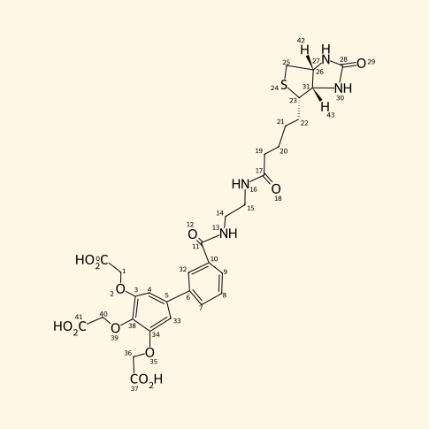 O=C(O)COc1cc(-c2cccc(C(=O)NCCNC(=O)CCCC[C@@H]3SC[C@@H]4NC(=O)N[C@@H]43)c2)cc(OCC(=O)O)c1OCC(=O)O